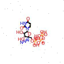 [N-]=[N+]=NC1(COP(=O)(O)OP(=O)(O)OP(=O)(O)O)O[C@@H](n2ccc(=O)[nH]c2=O)[C@H](O)[C@@H]1O